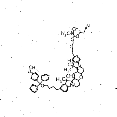 COc1ccc(C(OCCCCc2ccc3c(c2)C(C)(C)C2=[N+]3CCC3OC4CCN5C(=C4C=C23)C(C)(C)c2cc(CCCCOP(OCCC#N)N(C)C)ccc25)(c2ccccc2)c2ccccc2)cc1